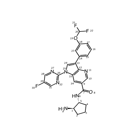 N[C@@H]1CCC[C@H]1NC(=O)c1cnc2c(-c3cccc(OC(F)F)c3)cn(-c3ncc(F)cn3)c2c1